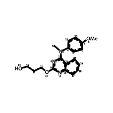 COc1ccc(N(C)c2nc(OCCCO)nc3ccccc23)cc1